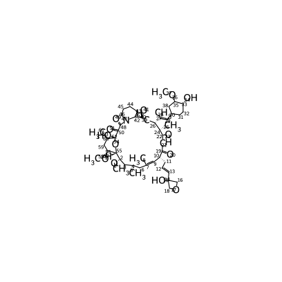 CO[C@H]1C[C@@H](C)C/C(C)=C/[C@@H](C/C=C/C2(O)COC2)C(=O)C[C@H](O)[C@@H](C)[C@@H](/C(C)=C/[C@@H]2CC[C@@H](O)[C@H](OC)C2)CC(=O)[C@@H]2CCCCN2C(=O)C(=O)[C@]2(O)O[C@H]1[C@@H](OC)C[C@H]2C